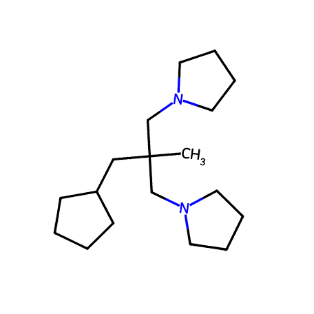 CC(CC1CCCC1)(CN1CCCC1)CN1CCCC1